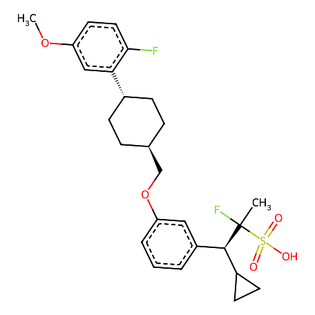 COc1ccc(F)c([C@H]2CC[C@H](COc3cccc([C@H](C4CC4)C(C)(F)S(=O)(=O)O)c3)CC2)c1